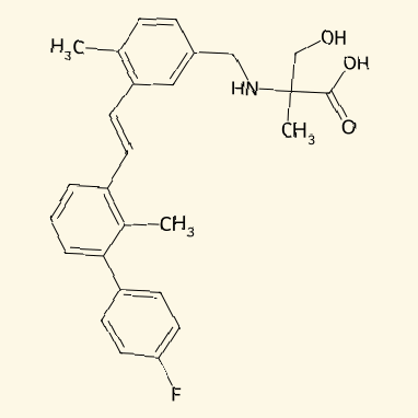 Cc1ccc(CNC(C)(CO)C(=O)O)cc1C=Cc1cccc(-c2ccc(F)cc2)c1C